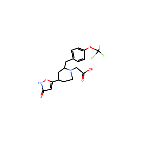 O=C(O)CN1CCC(c2cc(=O)[nH]o2)CC1Cc1ccc(OC(F)(F)F)cc1